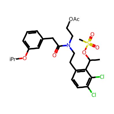 CC(=O)OCCN(CCc1ccc(Cl)c(Cl)c1C(C)OS(C)(=O)=O)C(=O)Cc1cccc(OC(C)C)c1